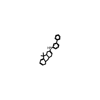 CC1(C)C2=CC=CCC2CC2CC=C(Nc3cccc(-c4ccccc4)c3)CC21